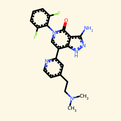 CN(C)CCc1ccnc(-c2cn(-c3c(F)cccc3F)c(=O)c3c(N)n[nH]c23)c1